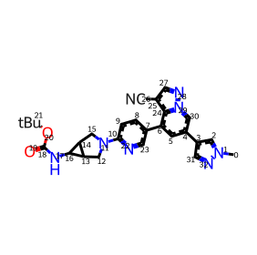 Cn1cc(-c2cc(-c3ccc(N4CC5C(C4)C5NC(=O)OC(C)(C)C)nc3)c3c(C#N)cnn3c2)cn1